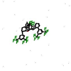 CCC1=Cc2c(-c3cc(C(F)(F)F)cc(C(F)(F)F)c3)cccc2[CH]1[Zr]([Cl])([Cl])([CH]1C(CC)=Cc2c(-c3cc(C(F)(F)F)cc(C(F)(F)F)c3)cccc21)[GeH]([CH3])[CH3]